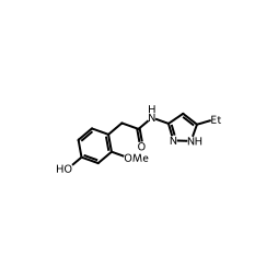 CCc1cc(NC(=O)Cc2ccc(O)cc2OC)n[nH]1